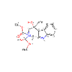 CCCC1(O)C[N+](C(=O)OC(C)(C)C)(C(=O)OC(C)(C)C)CC2=Nc3ccccc3C21